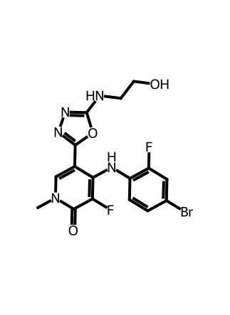 Cn1cc(-c2nnc(NCCO)o2)c(Nc2ccc(Br)cc2F)c(F)c1=O